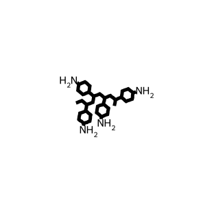 CCC(CC(CC(CC(C)C1CCC(N)CC1)C1CCC(N)CC1)C1CCC(N)CC1)C1CCC(N)CC1